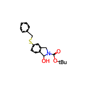 CC(C)(C)OC(=O)N1Cc2cc(SCc3ccccc3)ccc2C1O